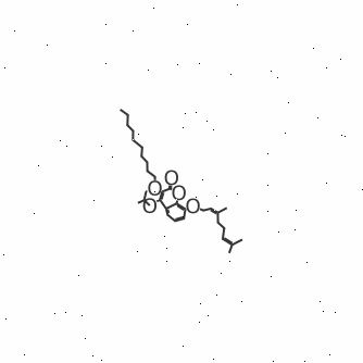 CCCCCCCCCCOc1c(OC(C)C)c2cccc(OCC=C(C)CCC=C(C)C)c2oc1=O